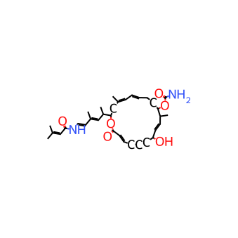 CC(C)=CC(=O)N/C=C/C(C)=C/C(C)C1C/C(C)=C/C=C/CCC(OC(N)=O)C(C)/C=C/C(O)CCC/C=C/C(=O)O1